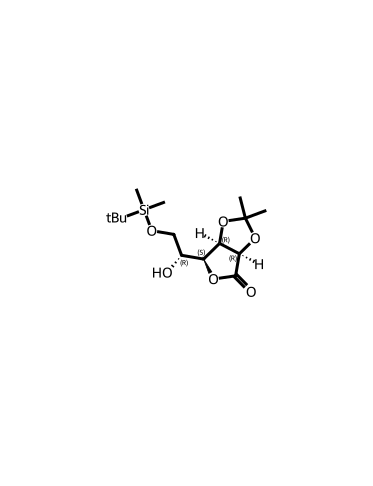 CC1(C)O[C@@H]2[C@H]([C@H](O)CO[Si](C)(C)C(C)(C)C)OC(=O)[C@@H]2O1